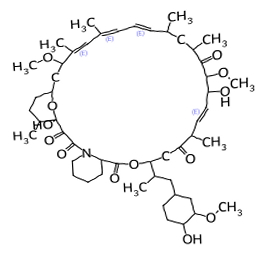 COC1CC2CCC(C)C(O)(O2)C(=O)C(=O)N2CCCCC2C(=O)OC(C(C)CC2CCC(O)C(OC)C2)CC(=O)C(C)/C=C/C(O)C(OC)C(=O)C(C)CC(C)/C=C/C=C(C)/C=C/1C